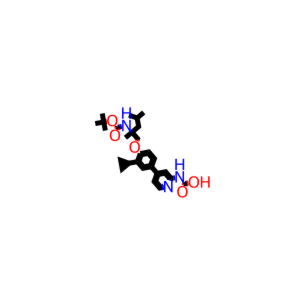 CC(C)CC(C)(COc1ccc(-c2ccnc(NC(=O)O)c2)cc1C1CC1)NC(=O)OC(C)(C)C